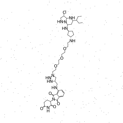 CCC(CC)C1CC(N[C@H]2CC[C@H](NCCOCCOCCOCCN3CC(CNc4cccc5c4C(=O)N(C4CCC(=O)NC4=O)C5=O)NN3)C2)N2NCC(Cl)C2N1